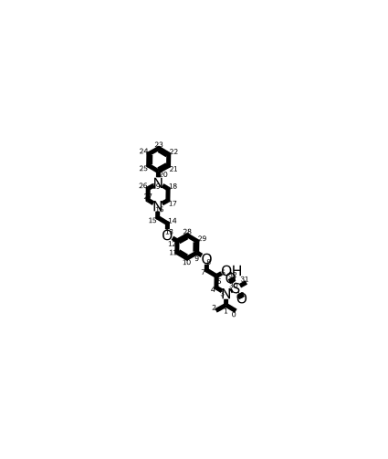 CC(C)N(CC(O)COc1ccc(OCCN2CCN(c3ccccc3)CC2)cc1)S(C)(=O)=O